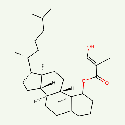 CC(=CO)C(=O)OC1CCCC2CC[C@@H]3[C@H](CC[C@]4(C)[C@@H]([C@H](C)CCCC(C)C)CC[C@@H]34)[C@]21C